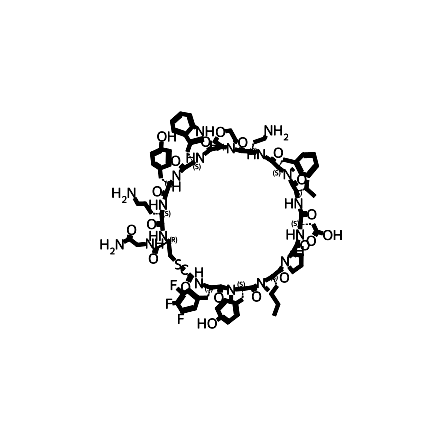 CCCC[C@H]1C(=O)N2CCC[C@@H]2C(=O)N[C@@H](CC(=O)O)C(=O)N[C@@H](C(C)C)C(=O)N(C)[C@@H](Cc2ccccc2)C(=O)N[C@@H](CCN)C(=O)N2CCOC[C@@H]2C(=O)N[C@@H](Cc2c[nH]c3ccccc23)C(=O)N[C@@H](Cc2ccc(O)cc2)C(=O)N[C@@H](CCCN)C(=O)N[C@H](C(=O)NCC(N)=O)CSCC(=O)N[C@@H](Cc2cc(F)c(F)c(F)c2)C(=O)N(C)[C@@H](Cc2ccc(O)cc2)C(=O)N1C